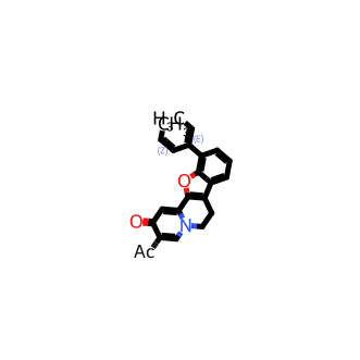 C/C=C\C(=C/C)c1cccc2c3c(oc12)-c1cc(=O)c(C(C)=O)cn1CC3